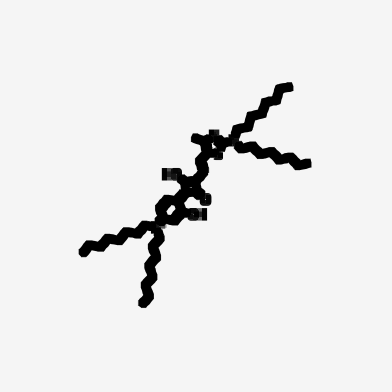 CCCCCCCCN(CCCCCCCC)c1nc(C)c(/C=C/C2=C(O)C(=C3\C=CC(=[N+](CCCCCCCC)CCCCCCCC)C=C3O)/C2=O)s1